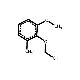 [CH2]c1cccc(OC)c1OCC